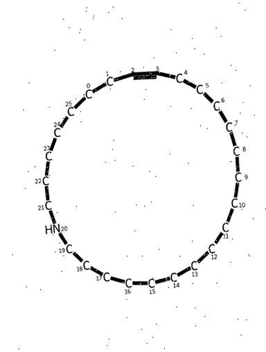 [CH]1CC=CCCCCCCCCCCCCCCCCNCCCCC1